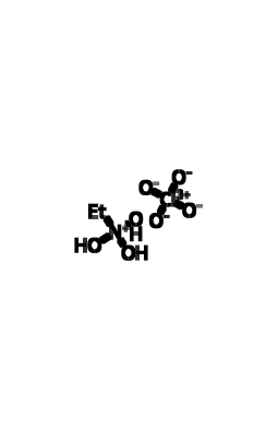 CC[N+](O)(O)O.[O-][Cl+3]([O-])([O-])[O-]